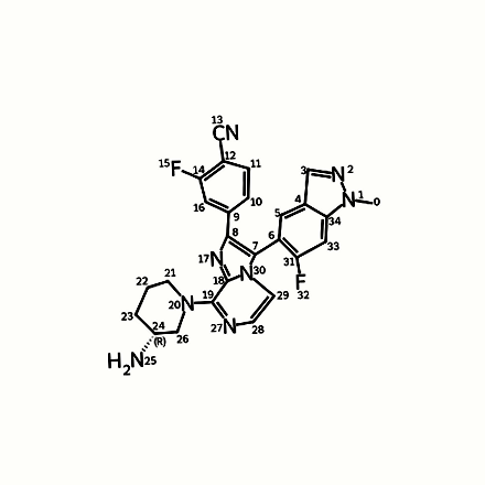 Cn1ncc2cc(-c3c(-c4ccc(C#N)c(F)c4)nc4c(N5CCC[C@@H](N)C5)nccn34)c(F)cc21